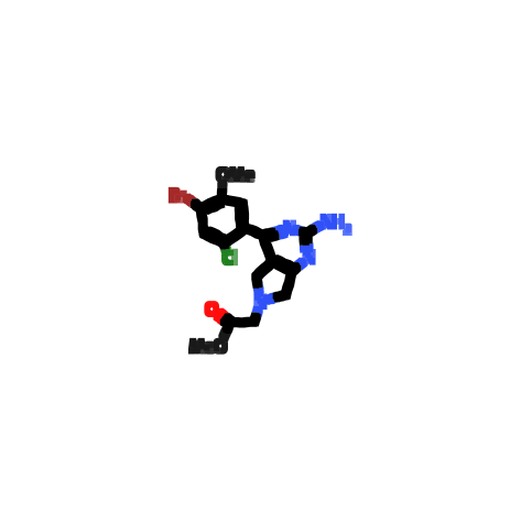 COC(=O)CN1Cc2nc(N)nc(-c3cc(OC)c(Br)cc3Cl)c2C1